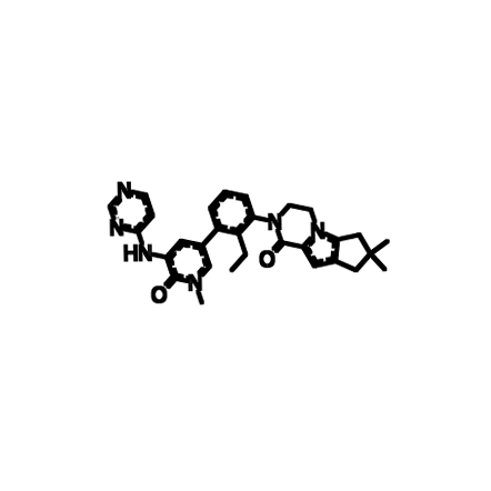 CCc1c(-c2cc(Nc3ccncn3)c(=O)n(C)c2)cccc1N1CCn2c(cc3c2CC(C)(C)C3)C1=O